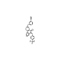 N#Cc1cccc(CN2CCc3c(c(=O)n(Cc4ccc(C(F)(F)F)cc4)c4cncn34)C2)c1